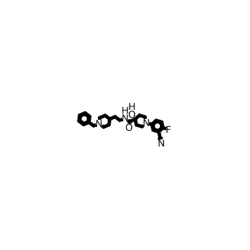 N#Cc1cc(N2CCC(O)(C(=O)NCCC3CCN(Cc4ccccc4)CC3)CC2)ccc1F